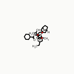 CCC1CC=C(/C(CCN2C3CC[C@@H]2CC(n2c(C)nnc2C(C)C)C3)=N\C(=O)C2CCCCC2)S1